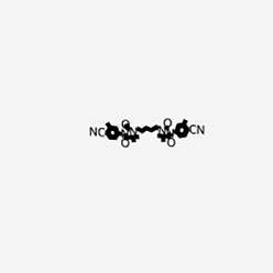 Cc1cc(N2C(=O)N(CCCCCN3C(=O)N(c4ccc(C#N)c(C)c4)C(=O)C3(C)C)C(C)(C)C2=O)ccc1C#N